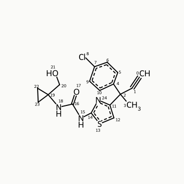 C#CC(C)(c1ccc(Cl)cc1)c1csc(NC(=O)NC2(CO)CC2)n1